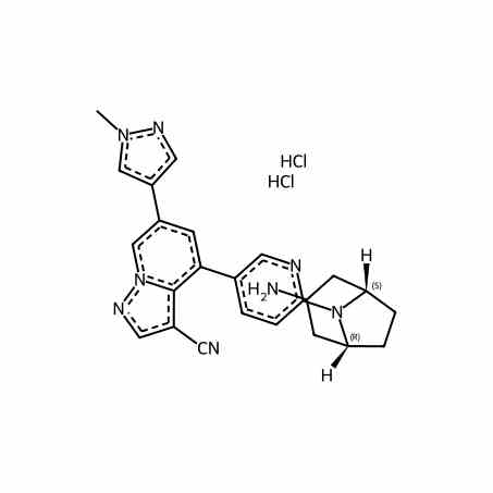 Cl.Cl.Cn1cc(-c2cc(-c3ccc(N4[C@@H]5CC[C@H]4CC(N)C5)nc3)c3c(C#N)cnn3c2)cn1